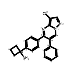 NC1(c2ccc(-c3nc4c(Cl)cnn4cc3-c3ccccc3)cc2)CCC1